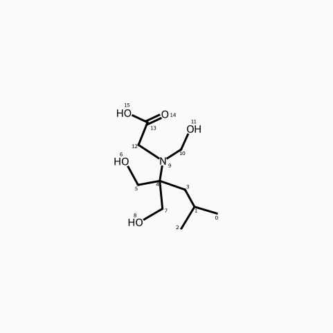 CC(C)CC(CO)(CO)N(CO)CC(=O)O